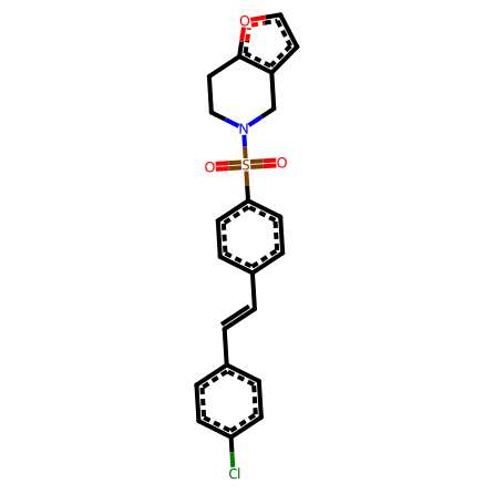 O=S(=O)(c1ccc(/C=C/c2ccc(Cl)cc2)cc1)N1CCc2occc2C1